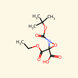 CCOC(=O)C1(C(=O)O)ON1C(=O)OC(C)(C)C